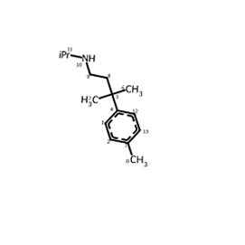 Cc1ccc(C(C)(C)CCNC(C)C)cc1